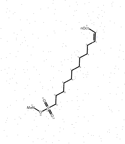 CCCCCCCC/C=C\CCCCCCCCCCS(=O)(=O)ONC